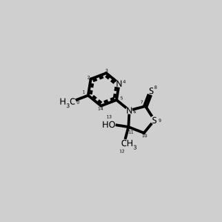 Cc1ccnc(N2C(=S)SCC2(C)O)c1